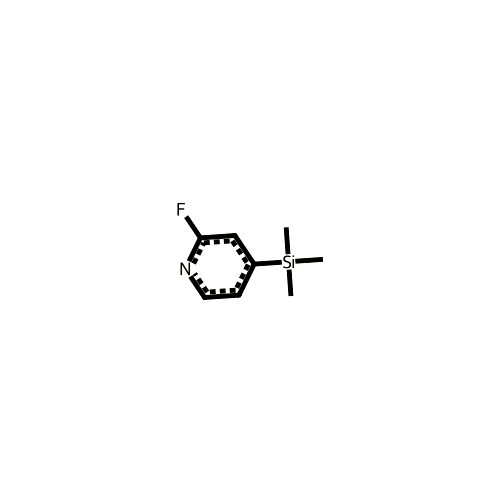 C[Si](C)(C)c1ccnc(F)c1